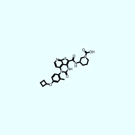 Cc1cc(OC2CCC2)ccc1N1C(=O)Nc2c(C(=O)NC3CCCN(C(=O)O)C3)sc3nccc1c23